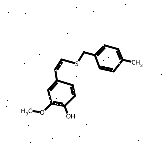 COc1cc(/C=C\SCc2ccc(C)cc2)ccc1O